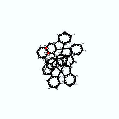 c1ccc(-c2ccccc2N(c2cccc3c2C2(c4ccccc4-c4ccccc42)c2ccccc2-3)c2cccc3c2C2(c4ccccc4-c4ccccc42)c2ccccc2-3)cc1